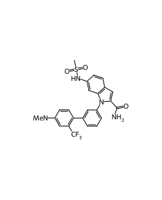 CNc1ccc(-c2cccc(-n3c(C(N)=O)cc4ccc(NS(C)(=O)=O)cc43)c2)c(C(F)(F)F)c1